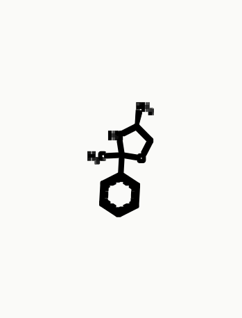 CC1(c2ccccc2)N[C@@H](P)CO1